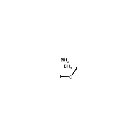 IOI.[BiH3].[BiH3]